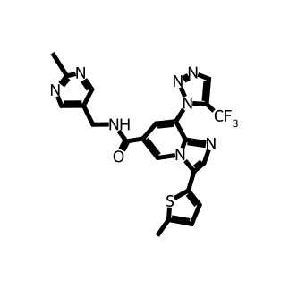 Cc1ncc(CNC(=O)c2cc(-n3nncc3C(F)(F)F)c3ncc(-c4ccc(C)s4)n3c2)cn1